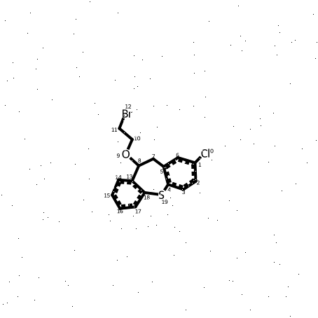 Clc1ccc2c(c1)CC(OCCBr)c1ccccc1S2